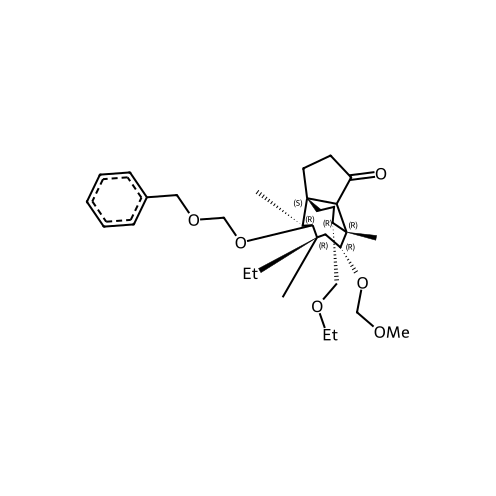 CCOC[C@@H]1CC[C@@]23CCC(=O)C2[C@]1(C)[C@H](OCOC)C[C@@](C)(CC)C(OCOCc1ccccc1)[C@@H]3C